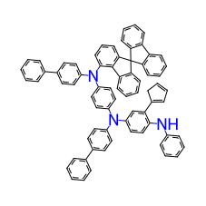 C1=CCC(c2cc(N(c3ccc(-c4ccccc4)cc3)c3ccc(N(c4ccc(-c5ccccc5)cc4)c4cccc5c4-c4ccccc4C54c5ccccc5-c5ccccc54)cc3)ccc2Nc2ccccc2)=C1